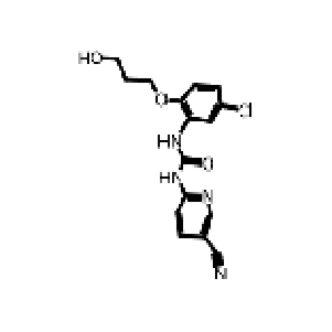 N#Cc1ccc(NC(=O)Nc2cc(Cl)ccc2OCCCO)nc1